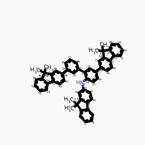 CC1(C)c2ccccc2-c2ccc(Nc3ccc(-c4ccc5c(c4)C(C)(C)c4ccccc4-5)cc3-c3cccc(-c4ccc5c(c4)C(C)(C)c4ccccc4-5)c3)cc21